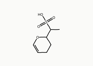 CC(C1CCC=CO1)S(=O)(=O)O